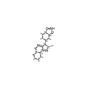 Cc1nn2c(ncc3ccccc32)c1-c1ccc2c(c1)ONO2